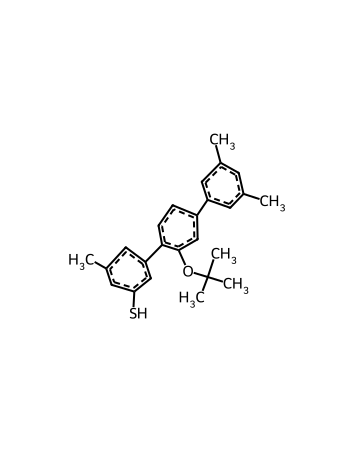 Cc1cc(C)cc(-c2ccc(-c3cc(C)cc(S)c3)c(OC(C)(C)C)c2)c1